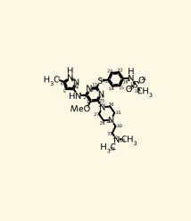 COc1c(Nc2cc(C)[nH]n2)nc(Sc2ccc(NS(C)(=O)=O)cc2)nc1N1CCN(CCN(C)C)CC1